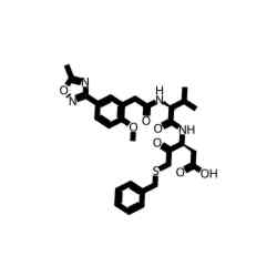 COc1ccc(-c2noc(C)n2)cc1CC(=O)N[C@H](C(=O)N[C@@H](CC(=O)O)C(=O)CSCc1ccccc1)C(C)C